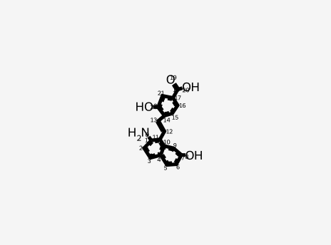 Nc1ccc2ccc(O)cc2c1/C=C/c1ccc(C(=O)O)cc1O